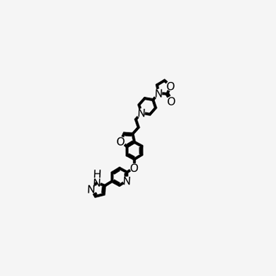 O=C1OCCN1C1CCN(CCc2coc3cc(Oc4ccc(-c5ccn[nH]5)cn4)ccc23)CC1